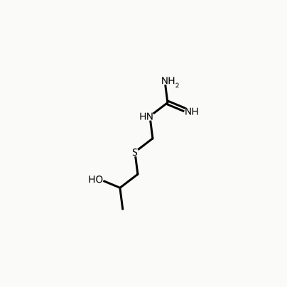 CC(O)CSCNC(=N)N